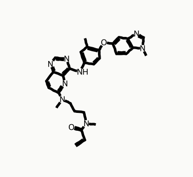 C=CC(=O)N(C)CCCN(C)c1ccc2ncnc(Nc3ccc(Oc4ccc5c(c4)ncn5C)c(C)c3)c2n1